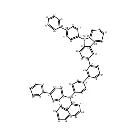 c1ccc(-c2ccc(N(c3ccc(-c4cccc(-c5ccc6c(c5)c5ccccc5n6-c5ccc(-c6ccccc6)cc5)c4)cc3)c3cccc4ccccc34)cc2)cc1